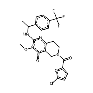 COn1c(NC(C)c2ccc(C(F)(F)F)cc2)nc2c(c1=O)CN(C(=O)c1ccc(Cl)o1)CC2